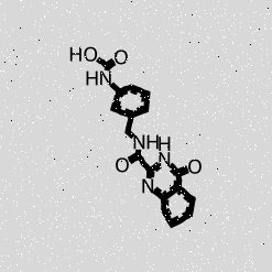 O=C(O)Nc1cccc(CNC(=O)c2nc3ccccc3c(=O)[nH]2)c1